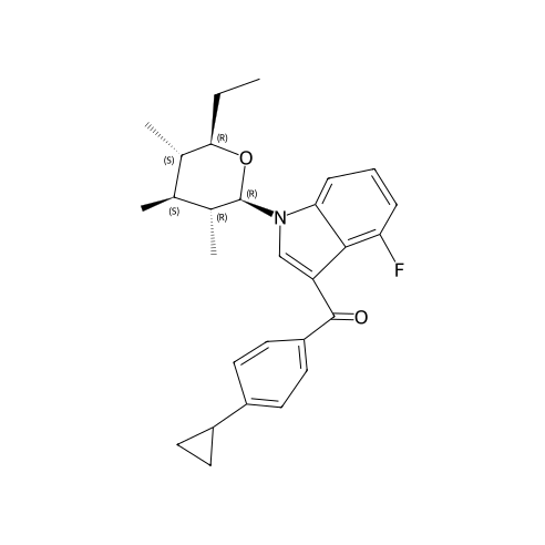 CC[C@H]1O[C@@H](n2cc(C(=O)c3ccc(C4CC4)cc3)c3c(F)cccc32)[C@H](C)[C@@H](C)[C@@H]1C